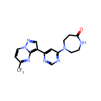 O=C1CCN(c2cc(-c3cnn4ccc(C(F)(F)F)nc34)ncn2)CCN1